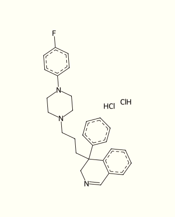 Cl.Cl.Fc1ccc(N2CCN(CCCC3(c4ccccc4)CN=Cc4ccccc43)CC2)cc1